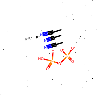 CC#N.CC#N.CC#N.O=P([O-])([O-])OP(=O)([O-])O.[K+].[K+].[K+]